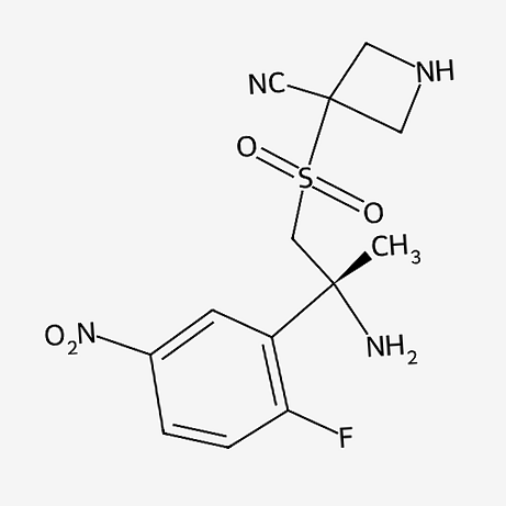 C[C@](N)(CS(=O)(=O)C1(C#N)CNC1)c1cc([N+](=O)[O-])ccc1F